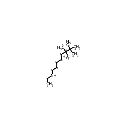 CCNCCCCCC(C)(C)C(C)(C)C